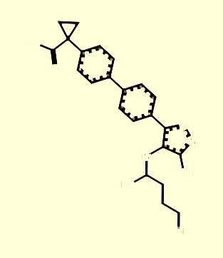 Cc1noc(-c2ccc(-c3ccc(C4(C(=O)O)CC4)cc3)cc2)c1NC(C)CCCO